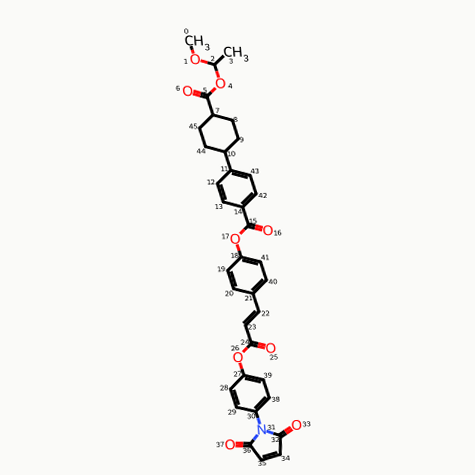 COC(C)OC(=O)C1CCC(c2ccc(C(=O)Oc3ccc(/C=C/C(=O)Oc4ccc(N5C(=O)C=CC5=O)cc4)cc3)cc2)CC1